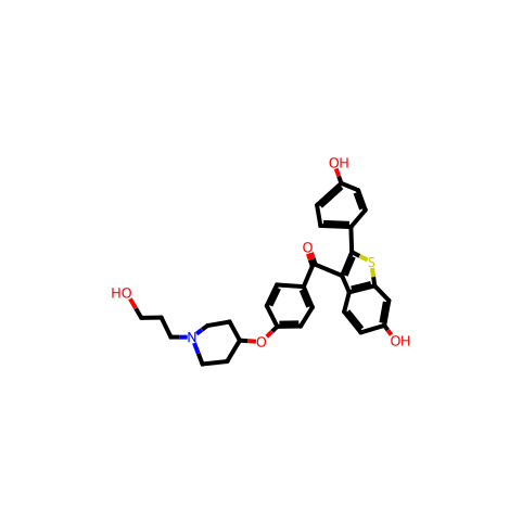 O=C(c1ccc(OC2CCN(CCCO)CC2)cc1)c1c(-c2ccc(O)cc2)sc2cc(O)ccc12